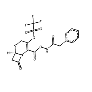 O=C(Cc1ccccc1)NOC(=O)C1=C(OS(=O)(=O)C(F)(F)F)CS[C@@H]2CC(=O)N12